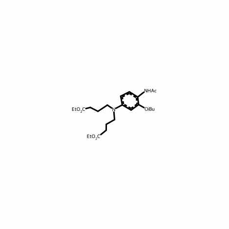 CCOC(=O)CCCN(CCCC(=O)OCC)c1ccc(NC(C)=O)c(OCC(C)C)c1